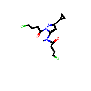 CN(C(=O)CCCCl)c1cc(C2CC2)nn1C(=O)CCCCl